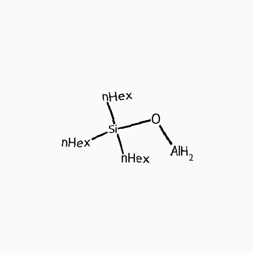 CCCCCC[Si](CCCCCC)(CCCCCC)[O][AlH2]